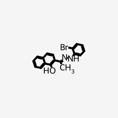 C/C(=N\Nc1ccccc1Br)c1ccc2ccccc2c1O